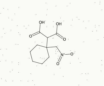 O=C(O)C(C(=O)O)C1(C[N+](=O)[O-])CCCCC1